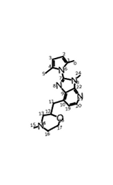 Cc1ccc(C)n1-c1nc2c(CC3CN(C)CCO3)ccnc2n1C